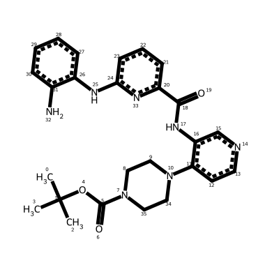 CC(C)(C)OC(=O)N1CCN(c2ccncc2NC(=O)c2cccc(Nc3ccccc3N)n2)CC1